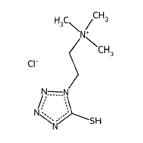 C[N+](C)(C)CCn1nnnc1S.[Cl-]